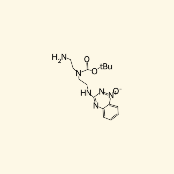 CC(C)(C)OC(=O)N(CCN)CCNc1nc2ccccc2[n+]([O-])n1